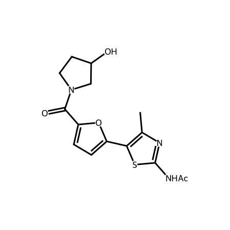 CC(=O)Nc1nc(C)c(-c2ccc(C(=O)N3CCC(O)C3)o2)s1